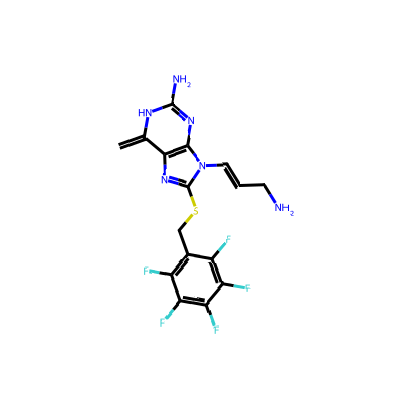 C=C1NC(N)=Nc2c1nc(SCc1c(F)c(F)c(F)c(F)c1F)n2C=CCN